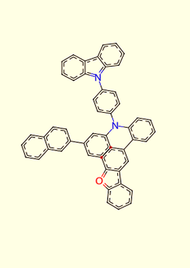 c1cc(-c2ccc3ccccc3c2)cc(N(c2ccc(-n3c4ccccc4c4ccccc43)cc2)c2ccccc2-c2ccc3oc4ccccc4c3c2)c1